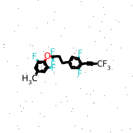 Cc1cc(F)c(OC(F)(F)CCc2cc(F)c(C#CC(F)(F)F)c(F)c2)c(F)c1